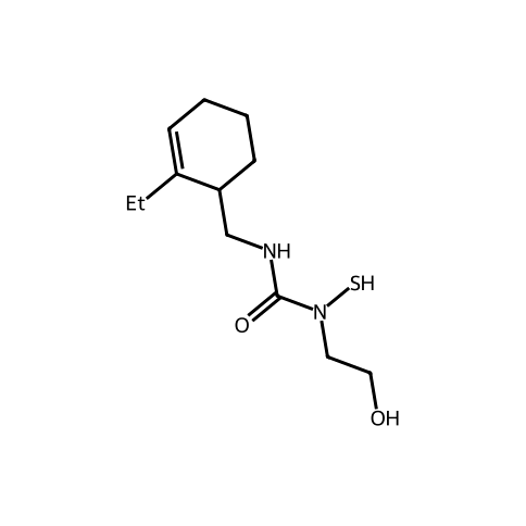 CCC1=CCCCC1CNC(=O)N(S)CCO